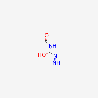 N=NC(O)NC=O